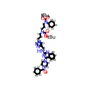 CC(C)(C)OC(=O)N(CCCN(C(=O)OC(C)(C)C)C1CCCCC1)CCCn1cc(CNc2nc(N3CCN(C(=O)C4CCCCC4)CC3)c3ccccc3n2)nn1